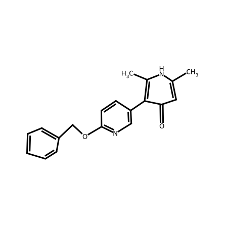 Cc1cc(=O)c(-c2ccc(OCc3ccccc3)nc2)c(C)[nH]1